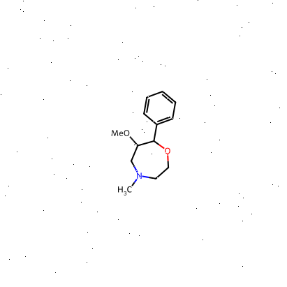 COC1CN(C)CCOC1c1ccccc1